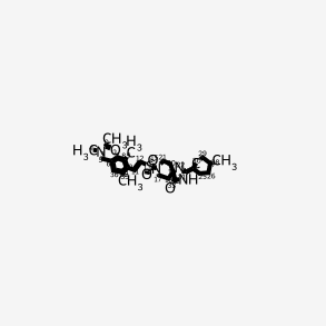 CC(=O)N(C)Cc1cc(C)c(C=CS(=O)(=O)N2CCC3(CC2)N=C(C2CCC(C)CC2)NC3=O)c(C)c1